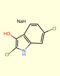 Oc1c(Cl)[nH]c2cc(Cl)ccc12.[NaH]